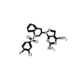 Nc1nc(N)c2cnn(C3Cc4ccccc4N(S(=O)(=O)c4ccc(F)c(Cl)c4)C3)c2n1